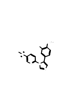 COc1ccc(-c2cncn2-c2ccc(S(C)(=O)=O)cn2)cc1F